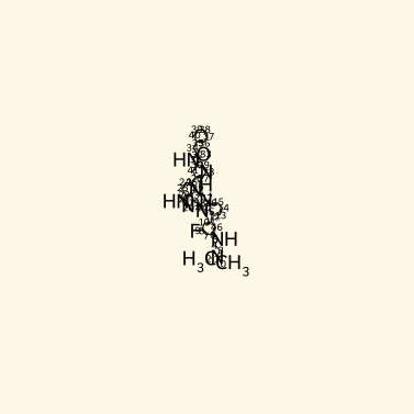 CN(C)CCNc1cc(F)cc(-c2cccc3[nH]c(-c4n[nH]c5ccc(-c6cncc(NC(=O)Cc7ccccc7)c6)nc45)nc23)c1